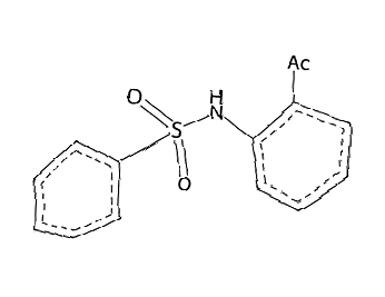 CC(=O)c1ccccc1NS(=O)(=O)c1ccccc1